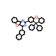 c1ccc(C2(c3ccccc3)c3ccccc3Oc3ccc(-c4nc(-c5ccc6ccccc6c5)c5oc6ccccc6c5n4)cc32)cc1